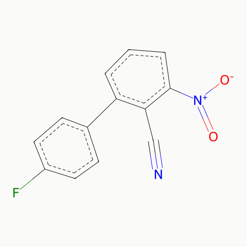 N#Cc1c(-c2ccc(F)cc2)cccc1[N+](=O)[O-]